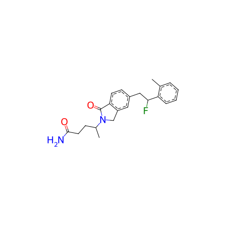 Cc1ccccc1C(F)Cc1ccc2c(c1)CN(C(C)CCC(N)=O)C2=O